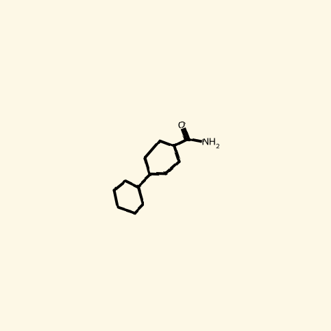 NC(=O)C1CCC(C2CCCCC2)CC1